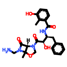 Cc1c(O)cccc1C(=O)N[C@@H](Cc1ccccc1)[C@H](O)C(=O)N1COC2(C)[C@H]1C(=O)N2CN